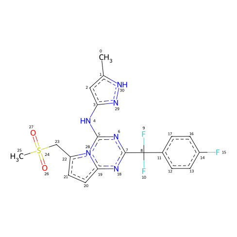 Cc1cc(Nc2nc(C(F)(F)c3ccc(F)cc3)nc3ccc(CS(C)(=O)=O)n23)n[nH]1